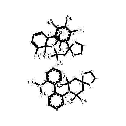 CC1=CC=CC(c2c(N)cc(C)c(C)c2N)C1(C)P1C(C)(C)CC2(CC1(C)C)OCCO2.CN(C)c1ccccc1-c1ccccc1P1C(C)(C)CC2(CC1(C)C)OCCO2